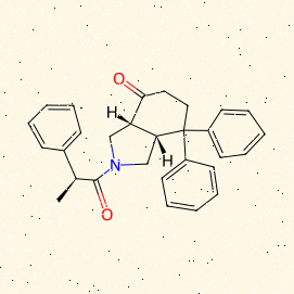 C[C@H](C(=O)N1C[C@@H]2C(=O)CCC(c3ccccc3)(c3ccccc3)[C@@H]2C1)c1ccccc1